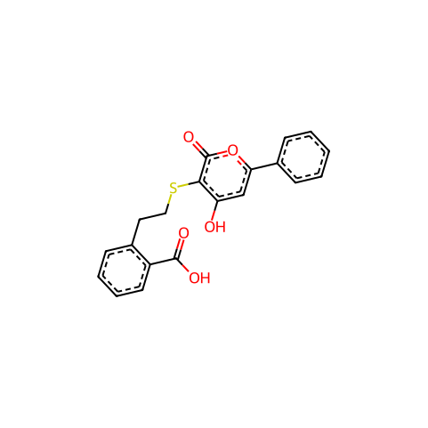 O=C(O)c1ccccc1CCSc1c(O)cc(-c2ccccc2)oc1=O